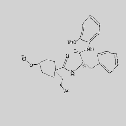 CCO[C@H]1CC[C@@](CSC(C)=O)(C(=O)N[C@@H](Cc2ccccc2)C(=O)Nc2ccccc2OC)CC1